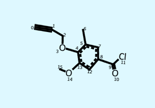 C#CCOc1c(C)cc(C(=O)Cl)cc1OC